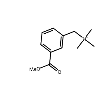 COC(=O)c1cccc(C[N+](C)(C)C)c1